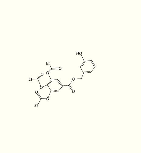 CCC(=O)Oc1cc(C(=O)OCc2cccc(O)c2)cc(OC(=O)CC)c1OC(=O)CC